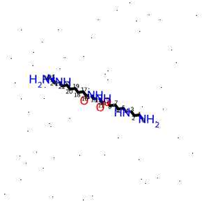 NCCCNCCCCOC(=O)NCNC(=O)CCCCCCNC=NN